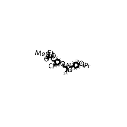 CCO[C@@H](Cc1ccc(OCc2nc(-c3ccc(OC(C)C)cc3)oc2C)cc1Cl)C(=O)OC